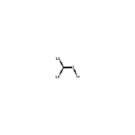 CCC(CC)O[N]